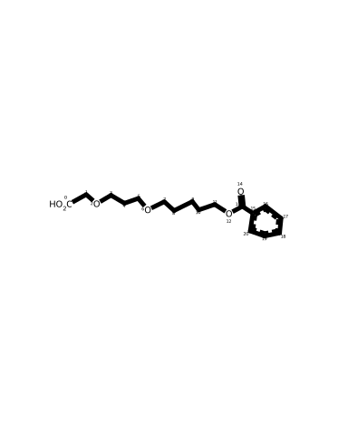 O=C(O)COCCCOCCCCCOC(=O)c1ccccc1